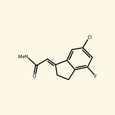 CNC(=O)/C=C1\CCc2c(F)cc(Cl)cc21